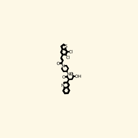 O=C(O)CC(C(=O)NC1CCN(C(=O)C=Cc2cc3ccsc3c(Cl)c2Cl)CC1)c1cnc2ccccc2c1